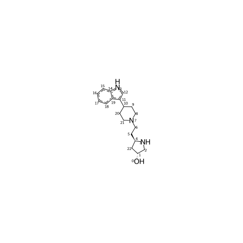 O[C@H]1CN[C@H](CCN2CCC(c3c[nH]c4ccccc34)CC2)C1